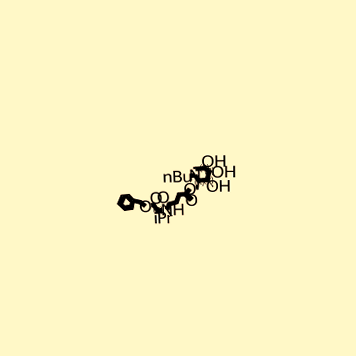 CCCCN1C[C@H](O)[C@@H](O)[C@H](O)[C@H]1COC(=O)CCC(=O)N[C@H](C(=O)OCc1ccccc1)C(C)C